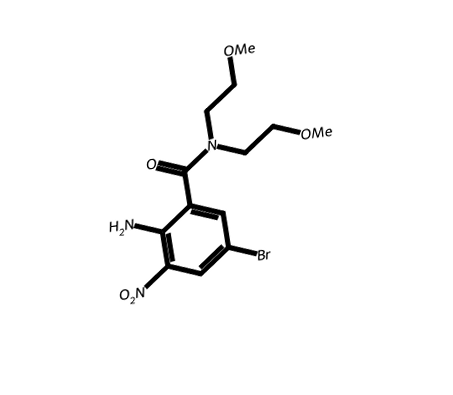 COCCN(CCOC)C(=O)c1cc(Br)cc([N+](=O)[O-])c1N